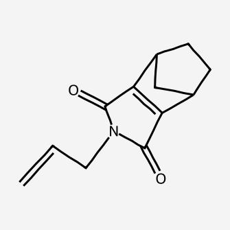 C=CCN1C(=O)C2=C(C1=O)C1CCC2C1